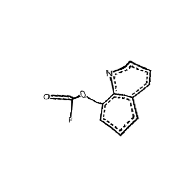 O=C(F)Oc1cccc2cccnc12